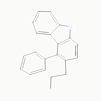 CCCc1[c]cc2[nH]c3ccccc3c2c1-c1ccccc1